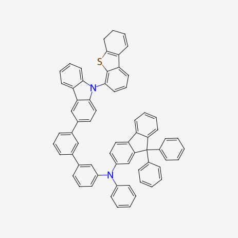 C1=Cc2c(sc3c(-n4c5ccccc5c5cc(-c6cccc(-c7cccc(N(c8ccccc8)c8ccc9c(c8)C(c8ccccc8)(c8ccccc8)c8ccccc8-9)c7)c6)ccc54)cccc23)CC1